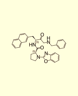 O=C(CNCc1ccccc1)[C@H](Cc1ccc2ccccc2c1)NC(=O)[C@@H]1CCCN1c1nc2ccccc2o1